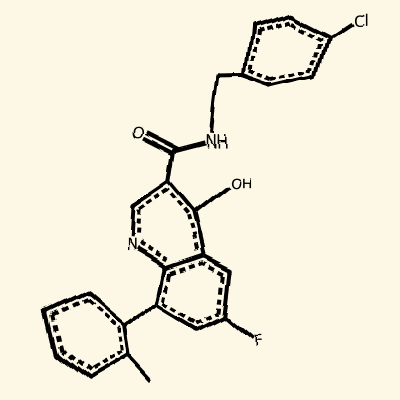 Cc1ccccc1-c1cc(F)cc2c(O)c(C(=O)NCc3ccc(Cl)cc3)cnc12